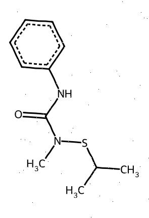 CC(C)SN(C)C(=O)Nc1ccccc1